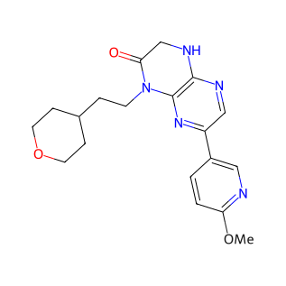 COc1ccc(-c2cnc3c(n2)N(CCC2CCOCC2)C(=O)CN3)cn1